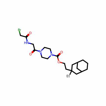 CCC1(CCOC(=O)N2CCN(C(=O)CNC(=O)CBr)CC2)CC2CCCC(C2)C1